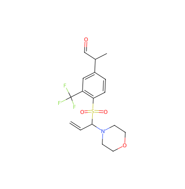 C=CC(N1CCOCC1)S(=O)(=O)c1ccc(C(C)C=O)cc1C(F)(F)F